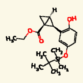 CCOC(=O)[C@@]12C[C@H]1[C@H]2c1cc(O[Si](C)(C)C(C)(C)C)ccc1O